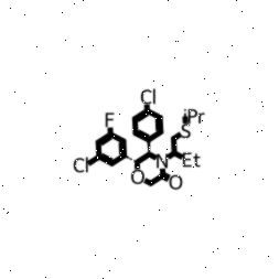 CCC(CSC(C)C)N1C(=O)CO[C@H](c2cc(F)cc(Cl)c2)[C@H]1c1ccc(Cl)cc1